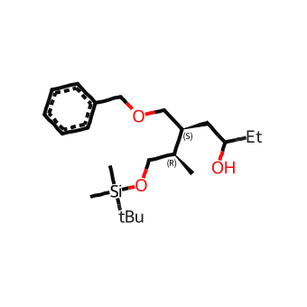 CCC(O)C[C@H](COCc1ccccc1)[C@@H](C)CO[Si](C)(C)C(C)(C)C